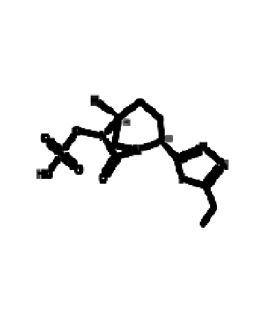 CCc1nnc([C@@H]2CC[C@@H]3CN2C(=O)N3OS(=O)(=O)O)s1